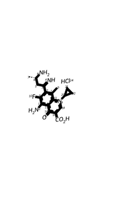 Cc1c(C(=N)C[C@H](C)N)c(F)c(N)c2c(=O)c(C(=O)O)cn(C3CC3)c12.Cl